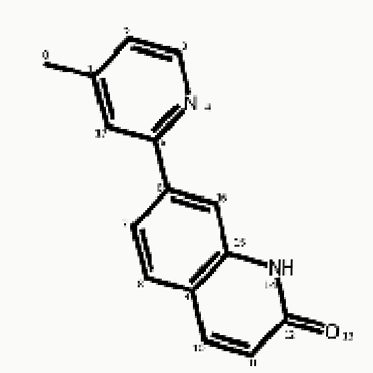 Cc1ccnc(-c2ccc3ccc(=O)[nH]c3c2)c1